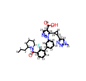 CCCC1CCCCN1C(=O)c1cccc(-c2cccc(-n3ncc(C(=O)O)c3C3CC3c3cn(C)nn3)c2)c1F